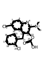 CN(C)c1nc2ccc(Cl)cc2c(Cc2ccccc2Cl)c1OC(=O)O